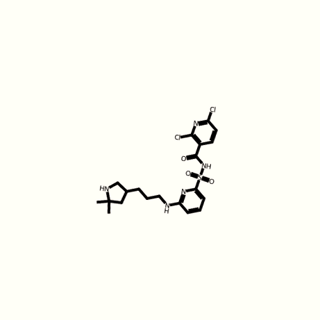 CC1(C)CC(CCCNc2cccc(S(=O)(=O)NC(=O)c3ccc(Cl)nc3Cl)n2)CN1